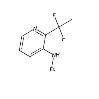 CCNc1cccnc1C(C)(F)F